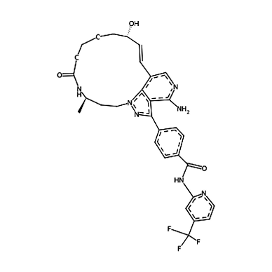 C[C@@H]1CCn2nc(-c3ccc(C(=O)Nc4cc(C(F)(F)F)ccn4)cc3)c3c(N)ncc(c32)/C=C/[C@@H](O)CCCCC(=O)N1